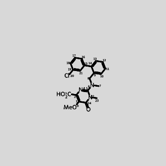 COc1c(C(=O)O)nc(N(C)Cc2ccccc2-c2cccc(Cl)c2)n(C)c1=O